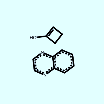 OC1=CCC1.c1ccc2nccnc2c1